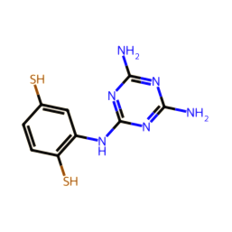 Nc1nc(N)nc(Nc2cc(S)ccc2S)n1